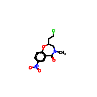 CN1CC(CCCl)Oc2ccc([N+](=O)[O-])cc2C1=O